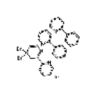 BrC1(Br)C=CN=C(c2ccccn2)C1.[Ir].c1ccc(-c2ccccn2)cc1.c1ccc(-c2ccccn2)cc1